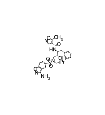 Cc1oncc1C(=O)NC(Cc1ccccc1)C(O)CN(CC(C)C)S(=O)(=O)c1ccc2onc(N)c2c1